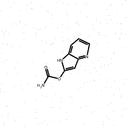 NC(=O)Oc1cc2ncccc2[nH]1